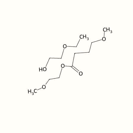 CCOCCO.COCCCC(=O)OCCOC